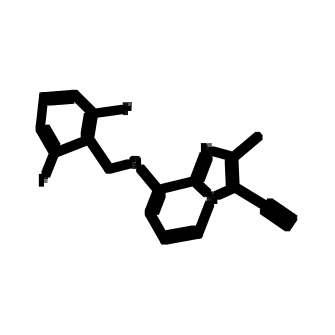 C#Cc1c(C)nc2c(OCc3c(F)cccc3F)cccn12